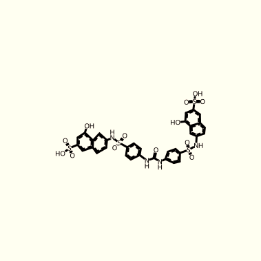 O=C(Nc1ccc(S(=O)(=O)Nc2ccc3cc(S(=O)(=O)O)cc(O)c3c2)cc1)Nc1ccc(S(=O)(=O)Nc2ccc3cc(S(=O)(=O)O)cc(O)c3c2)cc1